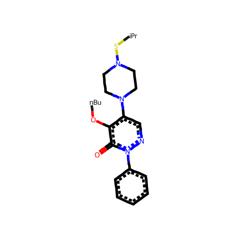 CCCCOc1c(N2CCN(SC(C)C)CC2)cnn(-c2ccccc2)c1=O